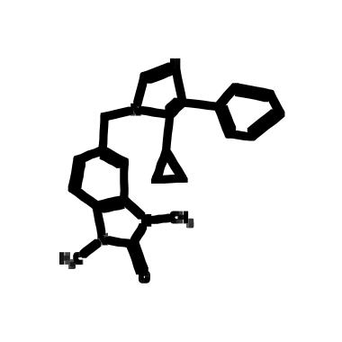 Cn1c(=O)n(C)c2cc(Cn3cnc(-c4ccccc4)c3C3CC3)ccc21